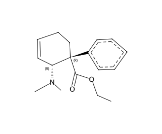 CCOC(=O)[C@@]1(c2ccccc2)CCC=C[C@H]1N(C)C